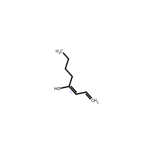 C=C/C=C(/O)CCCC